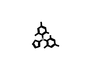 Cc1cc(C)c(B(C2=CC=CC2)c2c(C)cc(C)cc2C)c(C)c1